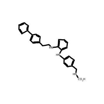 O=C(O)NCc1ccc(Nc2ccccc2NCCc2ccc(-c3ccccc3)cc2)cc1